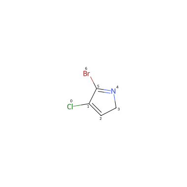 ClC1=CCN=C1Br